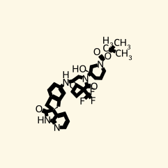 CC(C)(C)OC(=O)N1CCC[C@@](O)(N(CC(=O)Nc2ccc3c(c2)C[C@@]2(C3)C(=O)Nc3ncccc32)C(=O)C2(C(F)(F)F)CCC2)C1